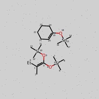 CCC(C)=C(O[Si](C)(C)C)O[Si](C)(C)C.[CH3][Sn]([CH3])([CH3])[O]C1=CCCCC1